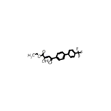 CCOC(=O)/C(O)=C/C(=O)c1ccc(-c2ccc(C(F)(F)F)cc2)cc1